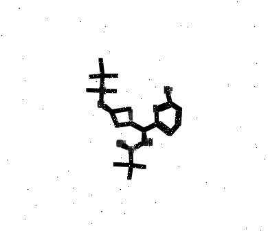 CC(C)(C)[S@@+]([O-])N[C@H](c1cccc(Br)n1)[C@H]1C[C@H](O[Si](C)(C)C(C)(C)C)C1